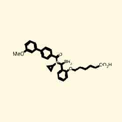 BC(c1ccccc1OCCCCCC(=O)O)N(C(=O)c1ccc(-c2cccc(OC)c2)cc1)C1CC1